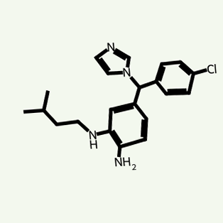 CC(C)CCNc1cc(C(c2ccc(Cl)cc2)n2ccnc2)ccc1N